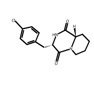 O=C1N[C@@H](Cc2ccc(Cl)cc2)C(=O)N2CCCC[C@@H]12